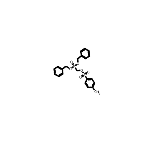 Cc1ccc(S(=O)(=O)OCP(=O)(OCc2ccccc2)OCc2ccccc2)cc1